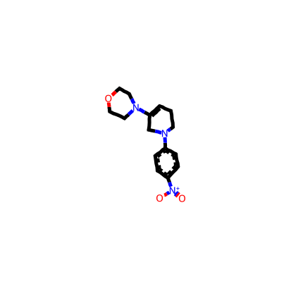 O=[N+]([O-])c1ccc(N2CCC=C(N3CCOCC3)C2)cc1